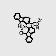 Cc1ccc2c(c1[SiH2]c1c(CCO)ccc3c1C(Cl)c1ccccc1-3)C(Cl)c1ccccc1-2.[Zr]